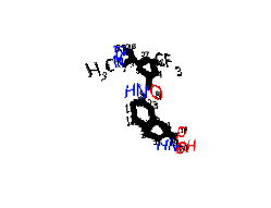 Cn1cc(-c2cc(C(=O)NC3CCc4ccc(C(=O)NO)cc4C3)cc(C(F)(F)F)c2)cn1